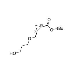 CC(C)(C)OC(=O)[C@@H]1C[C@@H]1COCCCO